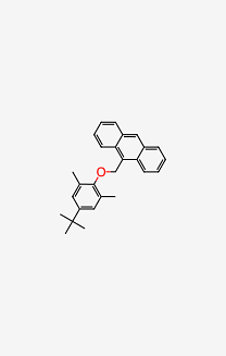 Cc1cc(C(C)(C)C)cc(C)c1OCc1c2ccccc2cc2ccccc12